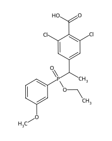 CCOP(=O)(c1cccc(OC)c1)C(C)c1cc(Cl)c(C(=O)O)c(Cl)c1